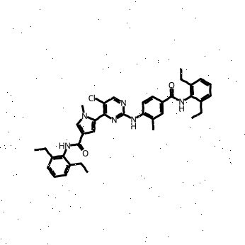 CCc1cccc(CC)c1NC(=O)c1ccc(Nc2ncc(Cl)c(-c3cc(C(=O)Nc4c(CC)cccc4CC)cn3C)n2)c(C)c1